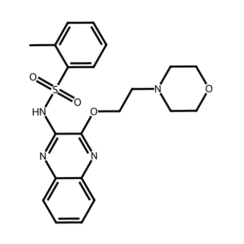 Cc1ccccc1S(=O)(=O)Nc1nc2ccccc2nc1OCCN1CCOCC1